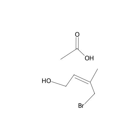 CC(=CCO)CBr.CC(=O)O